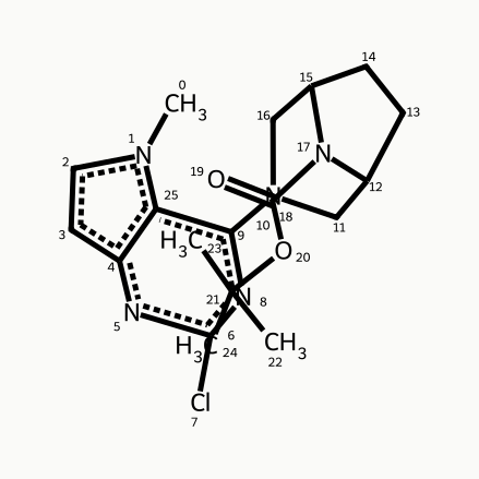 Cn1ccc2nc(Cl)nc(N3CC4CCC(C3)N4C(=O)OC(C)(C)C)c21